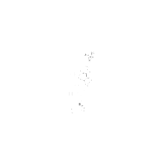 CN1[C@@H]2CC[C@H]1C[C@@H](OC(=O)Nc1nc(Cl)nc3c1ncn3C1OC(COP(=O)(O)CP(=O)(O)O)C(O)C1O)C2